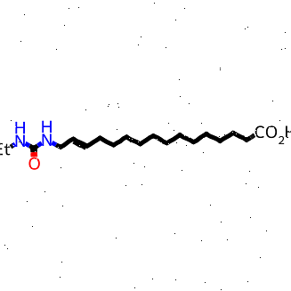 CCNC(=O)NCC=CCCCCCCCCCCCCC(=O)O